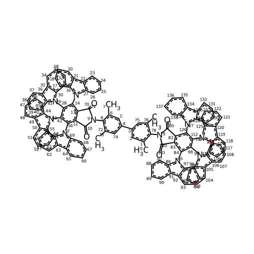 Cc1cc(-c2cc(C)c(N3C(=O)c4c(c(-n5c6ccccc6c6ccccc65)c(-n5c6ccccc6c6ccccc65)c(-n5c6ccccc6c6ccccc65)c4-n4c5ccccc5c5ccccc54)C3=O)c(C)c2)cc(C)c1N1C(=O)c2c(c(-n3c4ccccc4c4ccccc43)c(-n3c4ccccc4c4ccccc43)c(-n3c4ccccc4c4ccccc43)c2-n2c3ccccc3c3ccccc32)C1=O